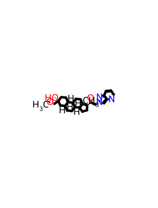 COC[C@@]1(O)CC[C@H]2[C@@H](CC[C@@H]3[C@@H]2CC[C@]2(C)[C@@H](C(=O)Cn4cc5ncccc5n4)CC[C@@H]32)C1